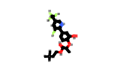 CC(Oc1ccc(-c2ncc(C(F)(F)F)cc2F)cc1O)C(=O)OCC[Si](C)(C)C